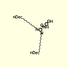 CCCCCCCCCCCCCCCCCCCCCC=Nc1cc(N=CCCCCCCCCCCCCCCCCCCCCC)cc(C(=O)Nc2ccc(O)cc2)c1